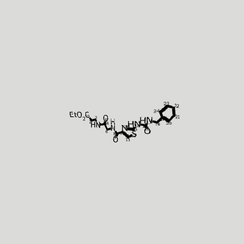 CCOC(=O)CCNC(=O)CNC(=O)c1csc(NC(=O)NCc2ccccc2)n1